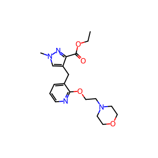 CCOC(=O)c1nn(C)cc1Cc1cccnc1OCCN1CCOCC1